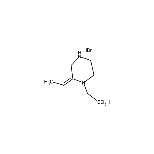 Br.CC=C1CNCCN1CC(=O)O